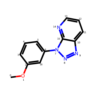 COc1cccc(-n2nnc3cccnc32)c1